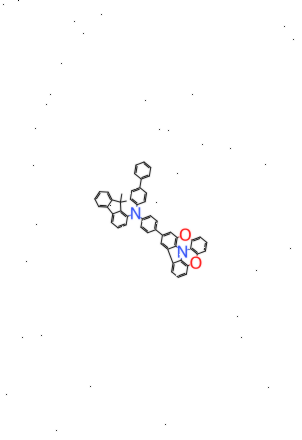 CC1(C)c2ccccc2-c2cccc(N(c3ccc(-c4ccccc4)cc3)c3ccc(-c4cc5c6c(c4)c4cccc7c4n6-c4c(cccc4O5)O7)cc3)c21